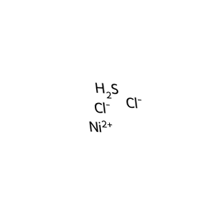 S.[Cl-].[Cl-].[Ni+2]